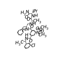 CC(C)[C@H](NC(=O)[C@H](C)NC[C@H](Cc1ccccc1)NC(=O)c1cc(C(=O)N[C@H](C)c2cccc(Cl)c2)cc(N(C)S(C)(=O)=O)c1)C(N)=O